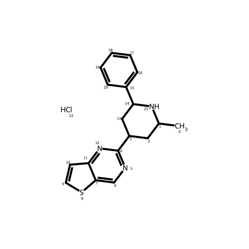 CC1CC(c2ncc3sccc3n2)CC(c2ccccc2)N1.Cl